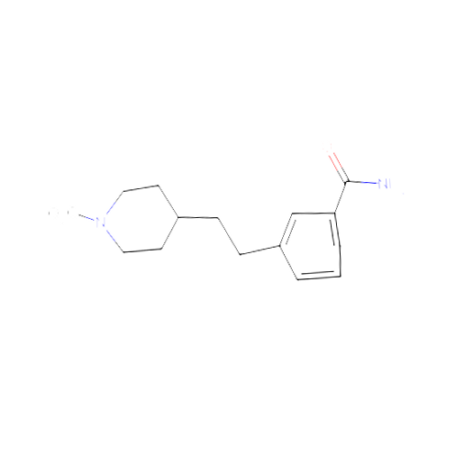 NC(=O)c1cccc(CCC2CCN(C(=O)O)CC2)c1